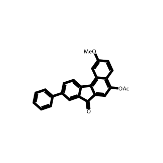 COc1ccc2c(OC(C)=O)cc3c(c2c1)-c1ccc(-c2ccccc2)cc1C3=O